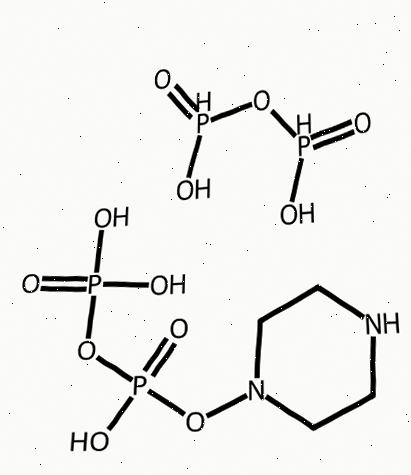 O=P(O)(O)OP(=O)(O)ON1CCNCC1.O=[PH](O)O[PH](=O)O